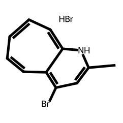 Br.CC1=CC(Br)=C2C=CC=CC=C2N1